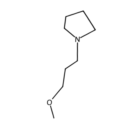 COCCCN1CCCC1